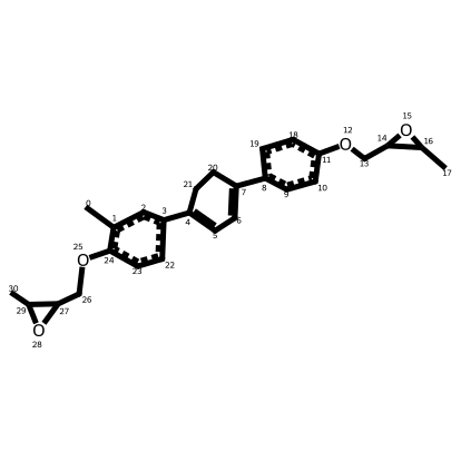 Cc1cc(C2=CC=C(c3ccc(OCC4OC4C)cc3)CC2)ccc1OCC1OC1C